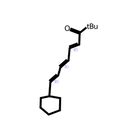 CC(C)(C)C(=O)/C=C/C=C/C=C/C1CCCCC1